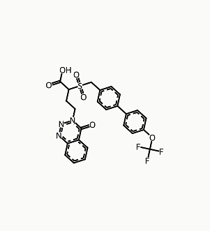 O=C(O)C(CCn1nnc2ccccc2c1=O)S(=O)(=O)Cc1ccc(-c2ccc(OC(F)(F)F)cc2)cc1